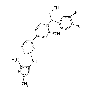 C=C1C=C(c2ccnc(Nc3cc(C)nn3C)n2)C=CN1C(CC)c1ccc(Cl)c(F)c1